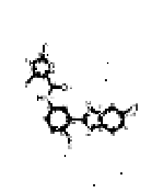 Cc1nc(C)c(C(=O)Nc2ccc(F)c(-c3nc4ccc(Cl)cn4n3)c2)o1